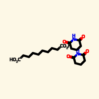 O=C(O)CCCCCCCCC(=O)O.O=C1CCCC(=O)N1.O=C1CCCC(=O)N1